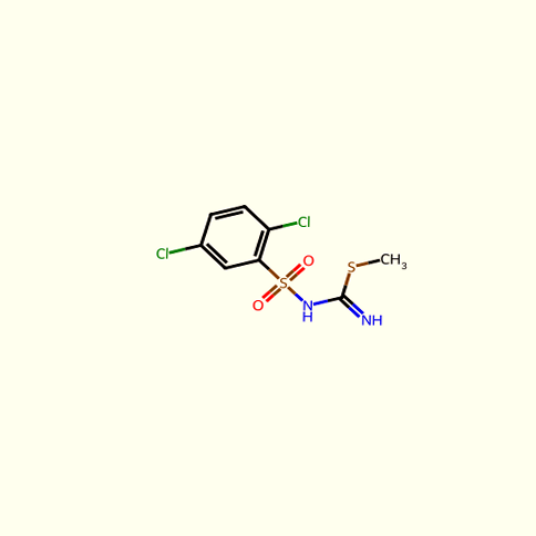 CSC(=N)NS(=O)(=O)c1cc(Cl)ccc1Cl